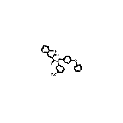 O=C(c1cc2ccccc2[nH]c1=O)N(Cc1ccc(Oc2ccccc2)cc1)c1cccc(C(F)(F)F)c1